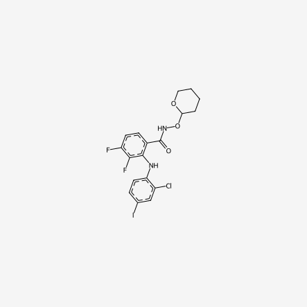 O=C(NOC1CCCCO1)c1ccc(F)c(F)c1Nc1ccc(I)cc1Cl